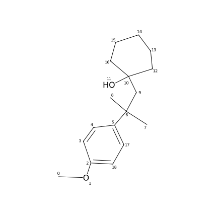 COc1ccc(C(C)(C)CC2(O)CCCCC2)cc1